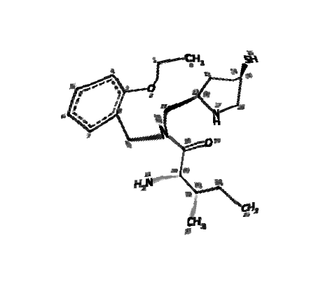 CCOc1ccccc1CN(C[C@H]1C[C@@H](S)CN1)C(=O)[C@@H](N)[C@@H](C)CC